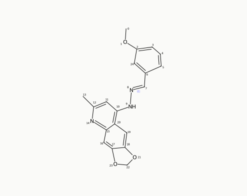 COc1cccc(/C=N/Nc2cc(C)nc3cc4c(cc23)OCO4)c1